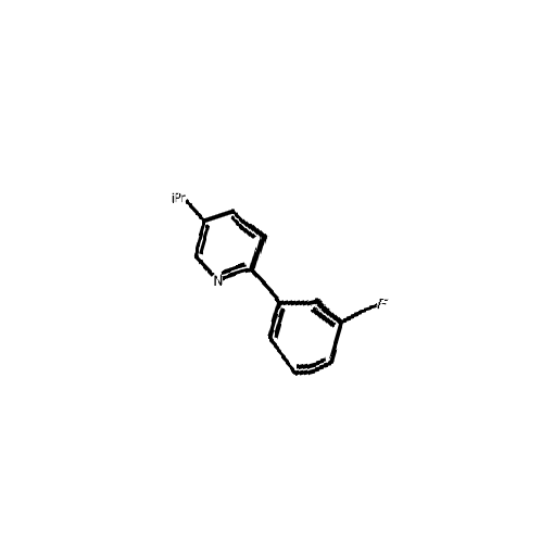 CC(C)c1ccc(-c2cccc(F)c2)nc1